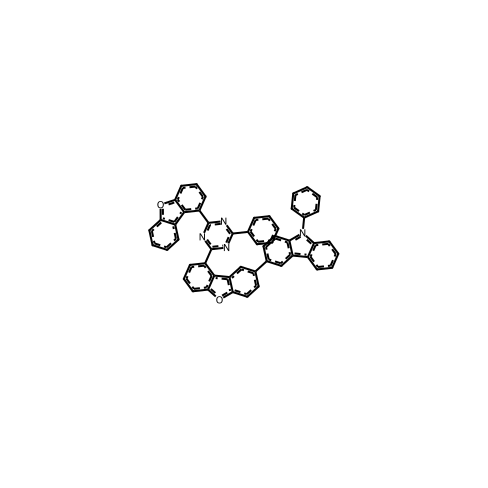 c1ccc(-c2nc(-c3cccc4oc5ccccc5c34)nc(-c3cccc4oc5ccc(-c6ccc7c(c6)c6ccccc6n7-c6ccccc6)cc5c34)n2)cc1